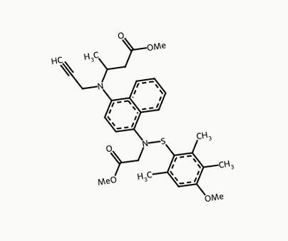 C#CCN(c1ccc(N(CC(=O)OC)Sc2c(C)cc(OC)c(C)c2C)c2ccccc12)C(C)CC(=O)OC